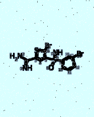 N=C(N)c1cc(S(=N)(=O)c2cccc(Br)c2)c(Br)s1